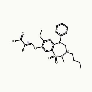 CCCC[C@@H]1CN(c2ccccc2)c2cc(SC)c(O/C=C(\F)C(=O)O)cc2S(=O)(=O)N1C